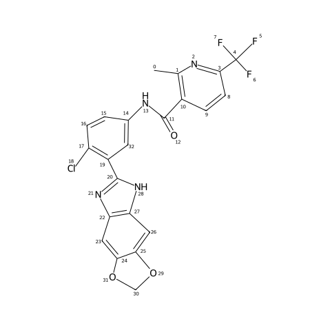 Cc1nc(C(F)(F)F)ccc1C(=O)Nc1ccc(Cl)c(-c2nc3cc4c(cc3[nH]2)OCO4)c1